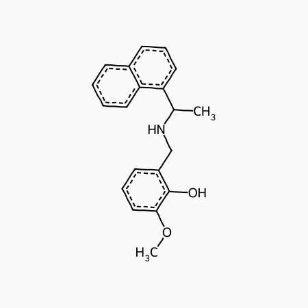 COc1cccc(CNC(C)c2cccc3ccccc23)c1O